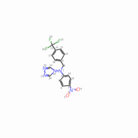 O=[N+]([O-])c1ccc(N(Cc2ccc(C(F)(F)F)cc2)n2cnnc2)cc1